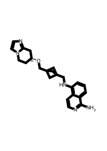 Nc1nccc2c(NCC34CC(CO[C@@H]5CCn6ccnc6C5)(C3)C4)cccc12